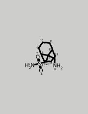 NCC1(CS(N)(=O)=O)C2CCCC1CCC2